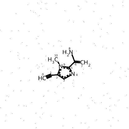 C#Cc1cnc(C(=C)N)n1C